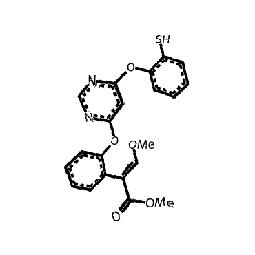 CO/C=C(/C(=O)OC)c1ccccc1Oc1cc(Oc2ccccc2S)ncn1